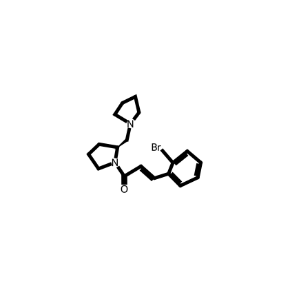 O=C(/C=C/c1ccccc1Br)N1CCC[C@H]1CN1CCCC1